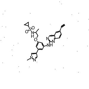 C#Cc1ccc2nc(Nc3cc(OCC(C)NS(=O)(=O)C4CC4)cc(-c4cnn(C)c4)c3)ncc2c1